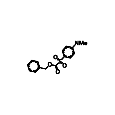 CNc1ccc(S(=O)(=O)C(=O)OCc2ccccc2)cc1